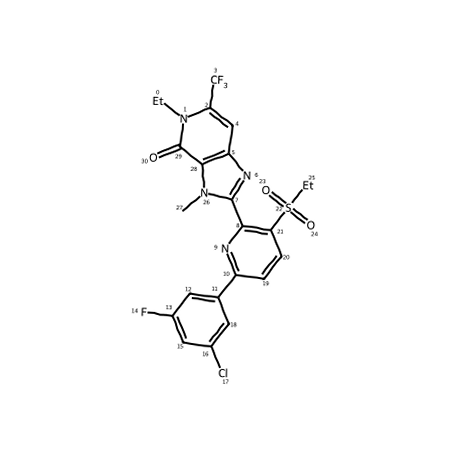 CCn1c(C(F)(F)F)cc2nc(-c3nc(-c4cc(F)cc(Cl)c4)ccc3S(=O)(=O)CC)n(C)c2c1=O